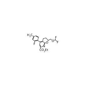 CCOC(=O)c1cc(-c2ccc(C)cc2F)c2c(n1)OC(COC(F)F)CC2